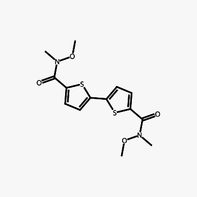 CON(C)C(=O)c1ccc(-c2ccc(C(=O)N(C)OC)s2)s1